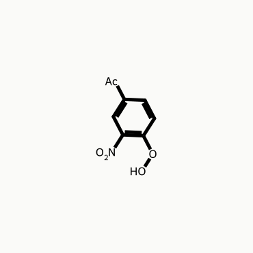 CC(=O)c1ccc(OO)c([N+](=O)[O-])c1